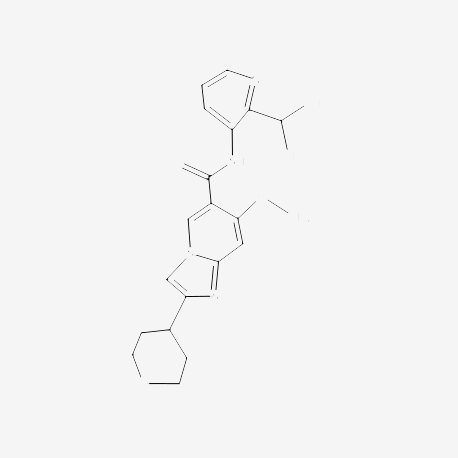 COc1cc2nc(C3CCOCC3)cn2cc1C(=O)Nc1cccnc1C(C)C